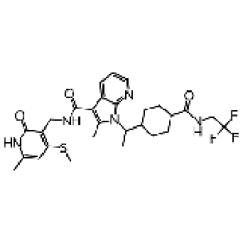 CSc1cc(C)[nH]c(=O)c1CNC(=O)c1c(C)n(C(C)C2CCC(C(=O)NCC(F)(F)F)CC2)c2ncccc12